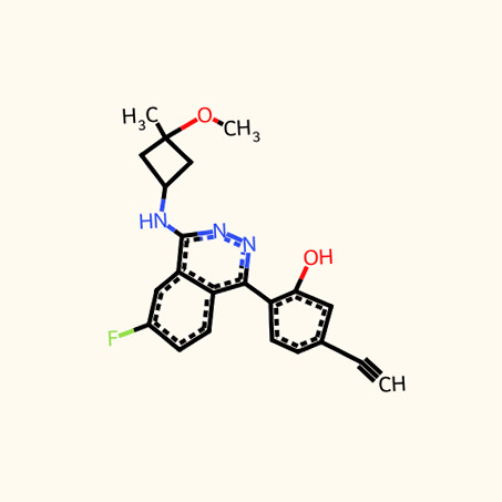 C#Cc1ccc(-c2nnc(NC3CC(C)(OC)C3)c3cc(F)ccc23)c(O)c1